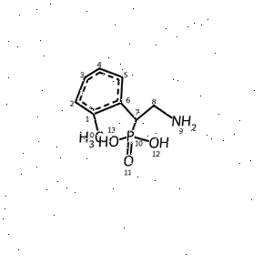 Cc1ccccc1C(CN)P(=O)(O)O